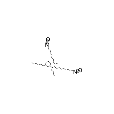 CCCCCCC1CCC=C(C(CCCC)C(CCCCCCCCN=C=O)C(C)CCCCCCCCN=C=O)C1